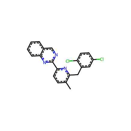 Cc1ccc(-c2ncc3ccccc3n2)nc1Cc1cc(Cl)ccc1Cl